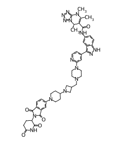 CC1=C(C(=O)Nc2ccc3[nH]nc(-c4ccnc(N5CCN(CC6CN(C7CCN(c8ccc9c(c8)C(=O)N(C8CCC(=O)NC8=O)C9=O)CC7)C6)CC5)c4)c3c2)[C@@H](C)n2nnnc2N1C